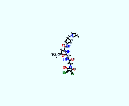 Cc1ccn(Cc2ccc(NC(=O)[C@H](CCC(=O)O)NC(=O)CNC(=O)CCN3C(=O)C(Br)=C(Br)C3=O)cc2)c1